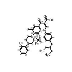 CCN(CC)Cc1ccc(-n2cc(C(=O)O)c(=O)c3cc(F)c(N4CCN(c5ccccc5F)CC4)c(OC(F)(F)F)c32)cc1